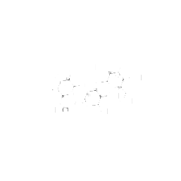 CC1O[C@H](CO)[C@@H](OC2O[C@H](CO)[C@@H](O)[C@H](O)[C@H]2O)[C@H](OC2O[C@H](CO)[C@@H](O)[C@H](O)[C@H]2O)[C@H]1O